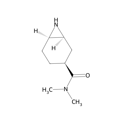 CN(C)C(=O)[C@H]1CC[C@H]2N[C@H]2C1